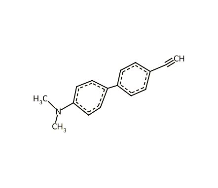 C#Cc1ccc(-c2ccc(N(C)C)cc2)cc1